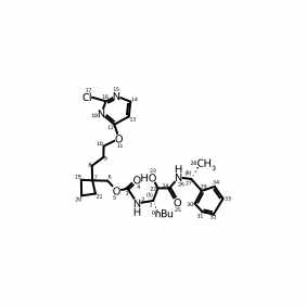 CCCC[C@H](NC(=O)OCC1(CCCOc2ccnc(Cl)n2)CCC1)C(O)C(=O)N[C@H](C)c1ccccc1